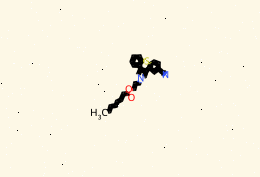 CCCCCCCC(=O)OCCCN1CC2=C(C1)c1cc(C#N)ccc1Sc1ccccc12